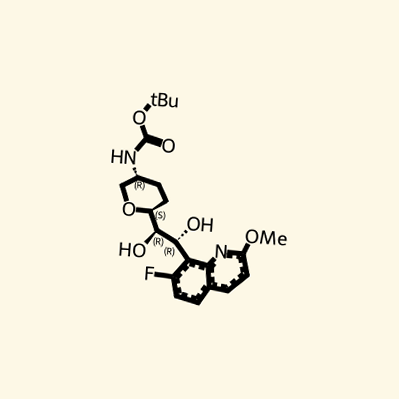 COc1ccc2ccc(F)c([C@@H](O)[C@@H](O)[C@@H]3CC[C@@H](NC(=O)OC(C)(C)C)CO3)c2n1